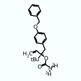 [2H]N([2H])C(=O)O[C@](C=C)(Cc1ccc(OCc2ccccc2)cc1)C(C)(C)C